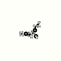 COCCNC(=O)c1ccc2c(c1)nc(Nc1nc3ccc(OC(F)(F)F)cc3o1)n2C1CCOCC1